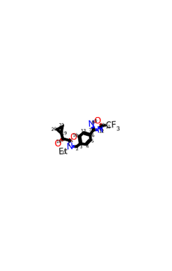 CCN(Cc1ccc(-c2noc(C(F)(F)F)n2)cc1)C(=O)C(=O)C1CC1